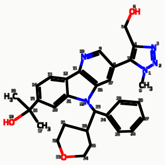 Cn1nnc(CO)c1-c1cnc2c3ccc(C(C)(C)O)cc3n(C(c3ccccc3)C3CCOCC3)c2c1